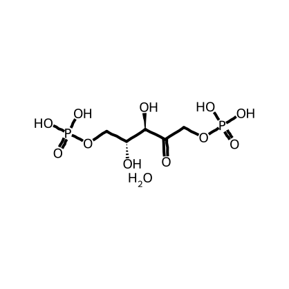 O.O=C(COP(=O)(O)O)[C@H](O)[C@H](O)COP(=O)(O)O